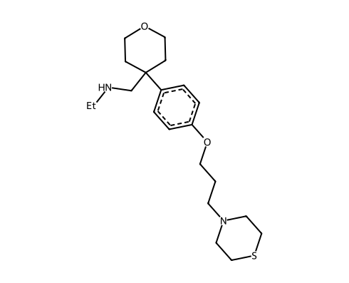 CCNCC1(c2ccc(OCCCN3CCSCC3)cc2)CCOCC1